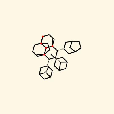 C[C@H](C1C2CCCC1CC2)[C@H](C1CC2CCC(C2)C1)[C@H](C1C2CC1CN(C)C2)[C@H](C1CC2CC(C1)N2C)[C@@H](C)C12CCC(CC1)CC2